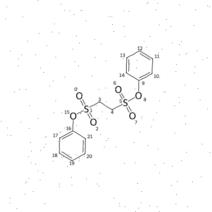 O=S(=O)(CCS(=O)(=O)Oc1ccccc1)Oc1ccccc1